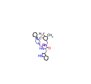 Cc1cc(CNC(=O)C(Cc2c[nH]c3ccccc23)NC(=O)CN2CCN(c3ccccc3)CC2)cc(C)c1C